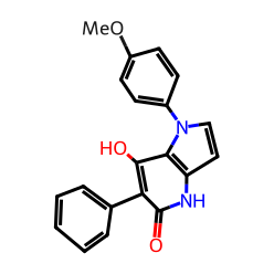 COc1ccc(-n2ccc3[nH]c(=O)c(-c4ccccc4)c(O)c32)cc1